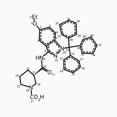 CCOc1ccc2c(c1)c(NC(=O)[C@@H]1CCCN(C(=O)O)C1)nn2C(c1ccccc1)(c1ccccc1)c1ccccc1